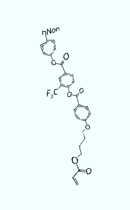 C=CC(=O)OCCCCOc1ccc(C(=O)Oc2ccc(C(=O)Oc3ccc(CCCCCCCCC)cc3)cc2C(F)(F)F)cc1